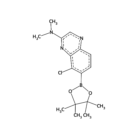 CN(C)c1cnc2ccc(B3OC(C)(C)C(C)(C)O3)c(Cl)c2n1